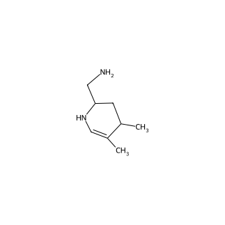 CC1=CNC(CN)CC1C